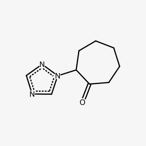 O=C1CCCCCC1n1cncn1